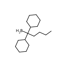 BC(CCCC)(C1CCCCC1)C1CCCCC1